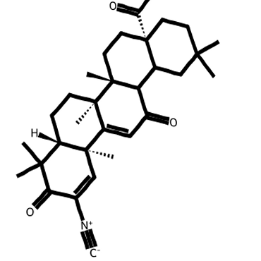 [C-]#[N+]C1=C[C@]2(C)C3=CC(=O)C4C5CC(C)(C)CC[C@]5(C(C)=O)CC[C@@]4(C)[C@]3(C)CC[C@H]2C(C)(C)C1=O